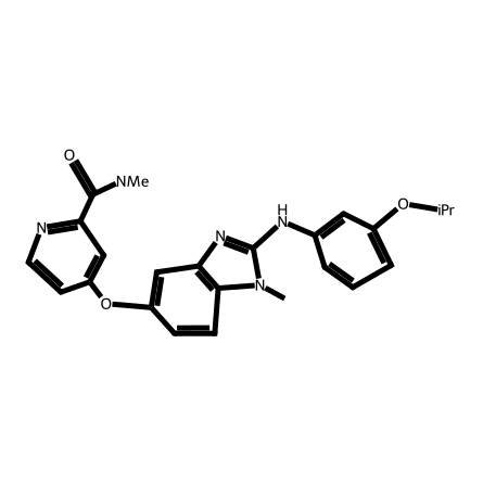 CNC(=O)c1cc(Oc2ccc3c(c2)nc(Nc2cccc(OC(C)C)c2)n3C)ccn1